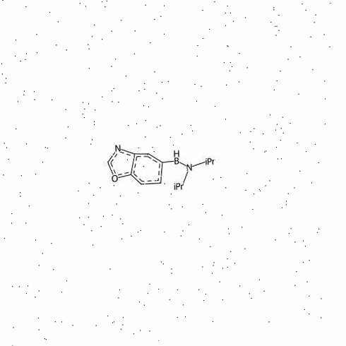 CC(C)N(Bc1ccc2ocnc2c1)C(C)C